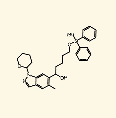 Cc1cc2cnn(C3CCCCO3)c2cc1C(O)CCCCO[Si](c1ccccc1)(c1ccccc1)C(C)(C)C